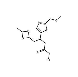 COCc1ncc(C(CC(=O)CCl)CC2OC(C)O2)s1